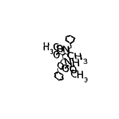 COC(=O)N[C@@H](COCc1ccccc1)/C(C(=O)OC)=C(\C)NCc1ccccc1